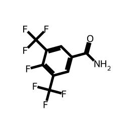 NC(=O)c1cc(C(F)(F)F)c(F)c(C(F)(F)F)c1